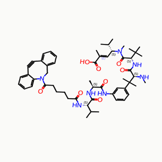 CN[C@H](C(=O)N[C@H](C(=O)N(C)[C@H](/C=C(\C)C(=O)O)C(C)C)C(C)(C)C)C(C)(C)c1cccc(NC(=O)[C@H](C)NC(=O)[C@@H](NC(=O)CCCCC(=O)N2Cc3ccccc3C#Cc3ccccc32)C(C)C)c1